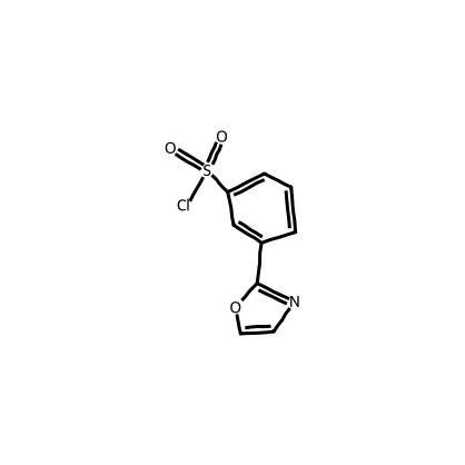 O=S(=O)(Cl)c1cccc(-c2ncco2)c1